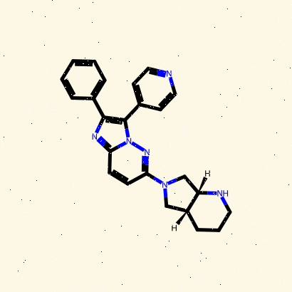 c1ccc(-c2nc3ccc(N4C[C@H]5CCCN[C@H]5C4)nn3c2-c2ccncc2)cc1